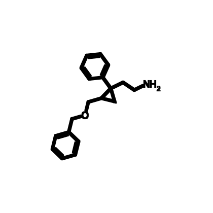 NCCC1(c2ccccc2)CC1COCc1ccccc1